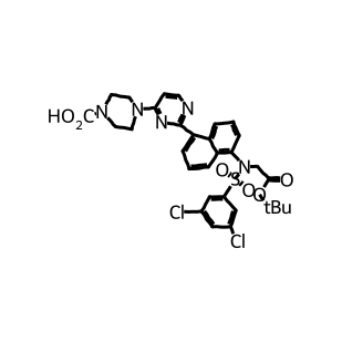 CC(C)(C)OC(=O)CN(c1cccc2c(-c3nccc(N4CCN(C(=O)O)CC4)n3)cccc12)S(=O)(=O)c1cc(Cl)cc(Cl)c1